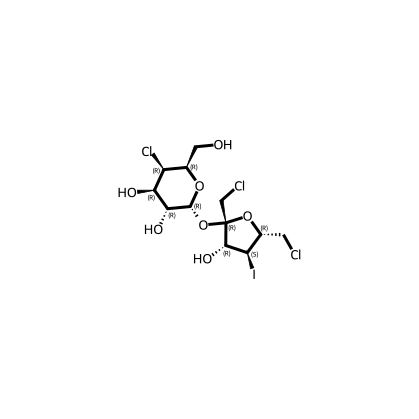 OC[C@H]1O[C@H](O[C@]2(CCl)O[C@H](CCl)[C@@H](I)[C@@H]2O)[C@H](O)[C@@H](O)[C@H]1Cl